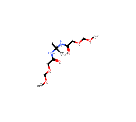 CCCOCOCC(=O)NC(C)(NC(=O)COCOCCC)C(=O)O